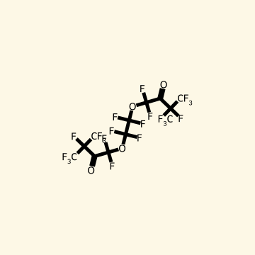 O=C(C(F)(F)OC(F)(F)C(F)(F)OC(F)(F)C(=O)C(F)(C(F)(F)F)C(F)(F)F)C(F)(C(F)(F)F)C(F)(F)F